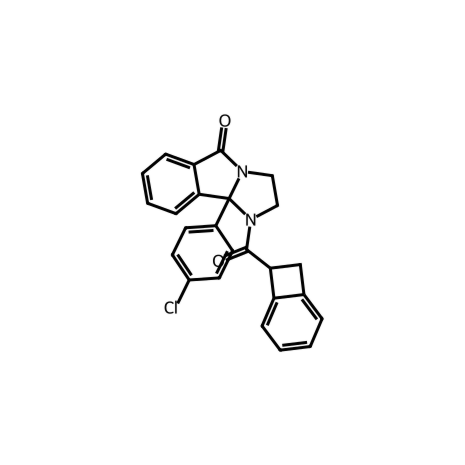 O=C1c2ccccc2C2(c3ccc(Cl)cc3)N1CCN2C(=O)C1Cc2ccccc21